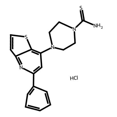 Cl.NC(=S)N1CCN(c2cc(-c3ccccc3)nc3ccsc23)CC1